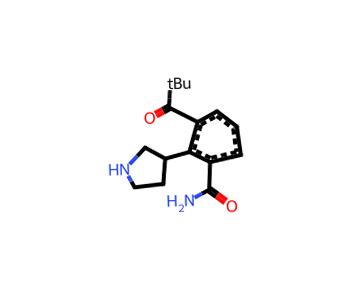 CC(C)(C)C(=O)c1cccc(C(N)=O)c1C1CCNC1